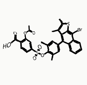 CC(=O)Oc1cc(S(=O)(=O)Oc2c(C)cc(-c3c4ccccc4c(Br)c4sc(C)c(C)c34)cc2C)ccc1C(=O)O